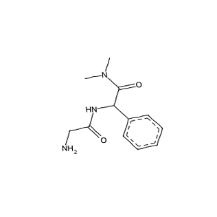 CN(C)C(=O)C(NC(=O)CN)c1ccccc1